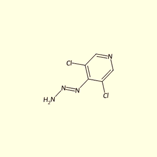 NN=Nc1c(Cl)cncc1Cl